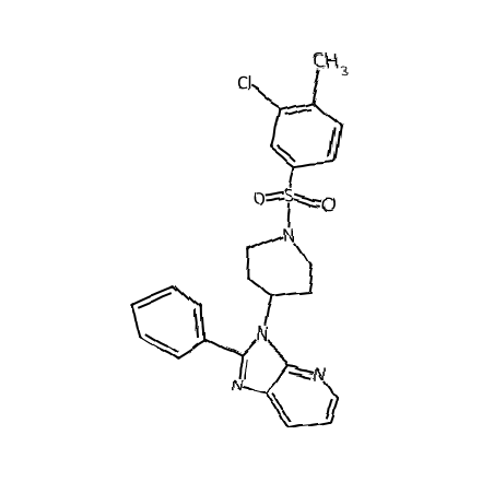 Cc1ccc(S(=O)(=O)N2CCC(n3c(-c4ccccc4)nc4cccnc43)CC2)cc1Cl